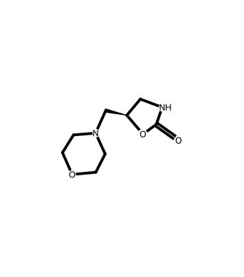 O=C1NC[C@H](CN2CCOCC2)O1